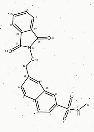 CNS(=O)(=O)c1ccc2ccc(CON3C(=O)c4ccccc4C3=O)cc2c1